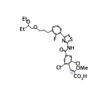 CCOC(CC)COCCCc1cccc(-c2csc(NC(=O)c3cc(Cl)c(/C=C(\OC)C(=O)O)c(Cl)c3)n2)c1F